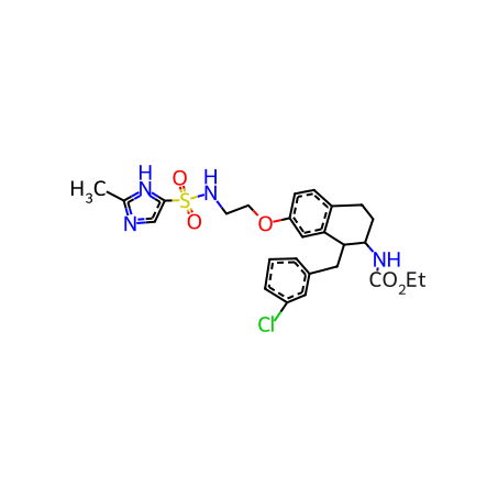 CCOC(=O)NC1CCc2ccc(OCCNS(=O)(=O)c3cnc(C)[nH]3)cc2C1Cc1cccc(Cl)c1